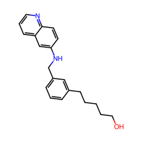 OCCCCCc1cccc(CNc2ccc3ncccc3c2)c1